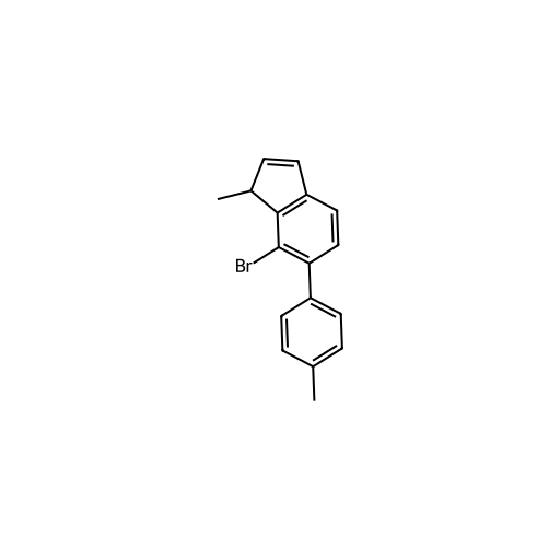 Cc1ccc(-c2ccc3c(c2Br)C(C)C=C3)cc1